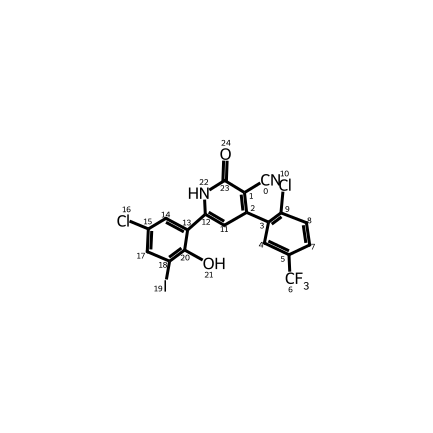 N#Cc1c(-c2cc(C(F)(F)F)ccc2Cl)cc(-c2cc(Cl)cc(I)c2O)[nH]c1=O